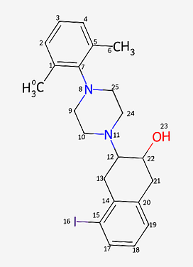 Cc1cccc(C)c1N1CCN(C2Cc3c(I)cccc3CC2O)CC1